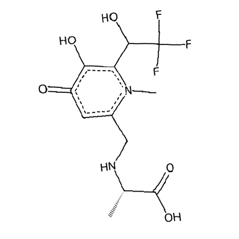 C[C@H](NCc1cc(=O)c(O)c(C(O)C(F)(F)F)n1C)C(=O)O